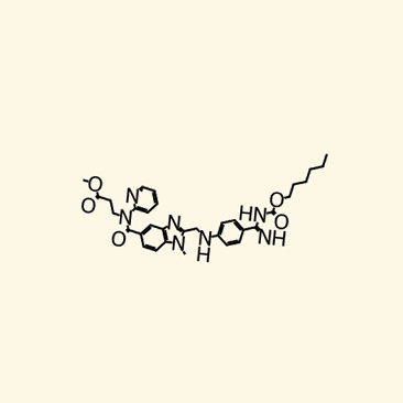 CCCCCCOC(=O)NC(=N)c1ccc(NCc2nc3cc(C(=O)N(CCC(=O)OC)c4ccccn4)ccc3n2C)cc1